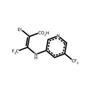 CCC(C(=O)O)=C(Nc1cncc(C(F)(F)F)c1)C(F)(F)F